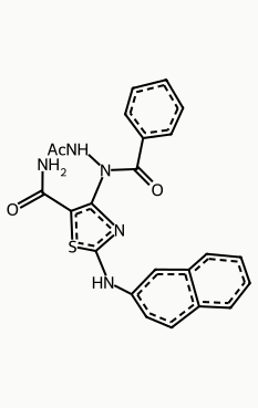 CC(=O)NN(C(=O)c1ccccc1)c1nc(Nc2ccc3ccccc3c2)sc1C(N)=O